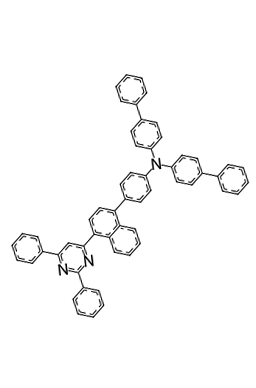 c1ccc(-c2ccc(N(c3ccc(-c4ccccc4)cc3)c3ccc(-c4ccc(-c5cc(-c6ccccc6)nc(-c6ccccc6)n5)c5ccccc45)cc3)cc2)cc1